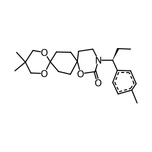 CC[C@@H](c1ccc(C)cc1)N1CCC2(CCC3(CC2)OCC(C)(C)CO3)OC1=O